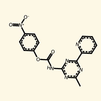 Cc1nc(NC(=O)Oc2ccc([N+](=O)[O-])cc2)nc(-c2ccccn2)n1